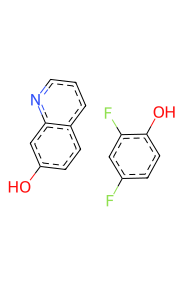 Oc1ccc(F)cc1F.Oc1ccc2cccnc2c1